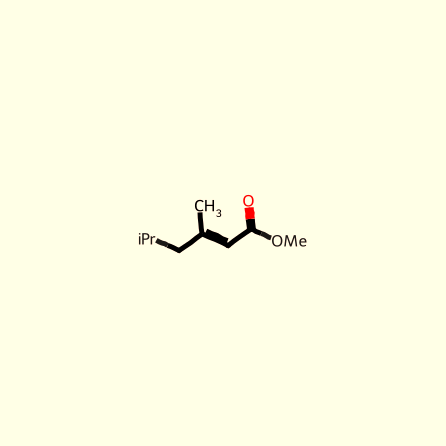 COC(=O)/C=C(\C)CC(C)C